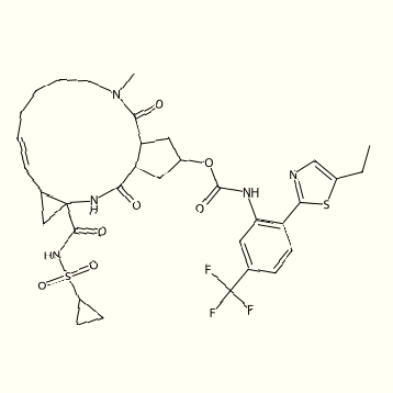 CCc1cnc(-c2ccc(C(F)(F)F)cc2NC(=O)OC2CC3C(=O)NC4(C(=O)NS(=O)(=O)C5CC5)CC4/C=C\CCCCN(C)C(=O)C3C2)s1